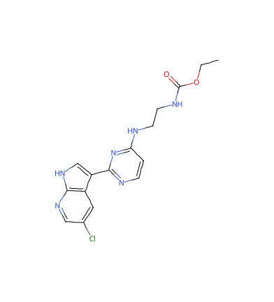 CCOC(=O)NCCNc1ccnc(-c2c[nH]c3ncc(Cl)cc23)n1